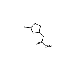 COC(=O)CC1CCN(I)C1